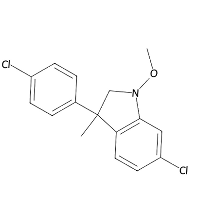 CON1CC(C)(c2ccc(Cl)cc2)c2ccc(Cl)cc21